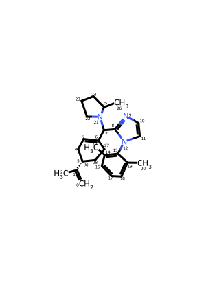 C=C(C)[C@@H]1CC=C(C(c2nccn2-c2c(C)cccc2C)N2CCCC2C)CC1